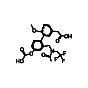 COc1ccc(CC(=O)O)cc1-c1ccc(OC(=O)O)cc1CN(CC(F)(F)F)C(C)=O